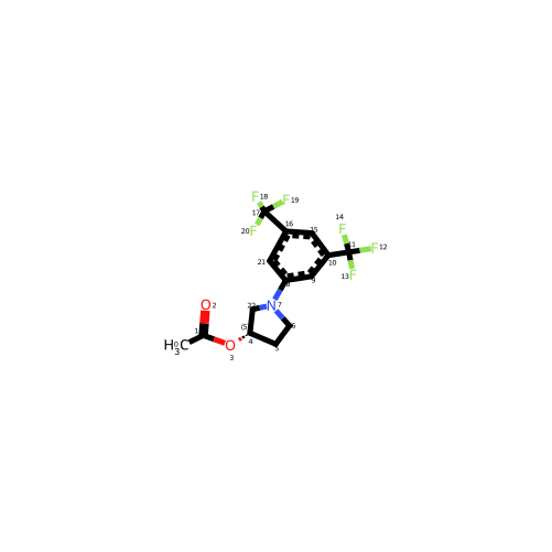 CC(=O)O[C@H]1CCN(c2cc(C(F)(F)F)cc(C(F)(F)F)c2)C1